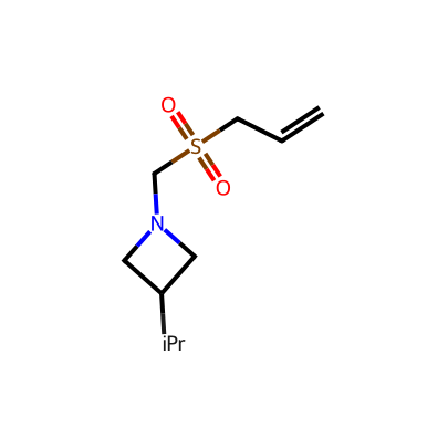 C=CCS(=O)(=O)CN1CC(C(C)C)C1